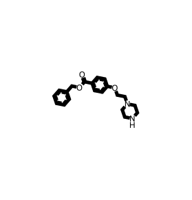 O=C(OCc1ccccc1)c1ccc(OCCN2CCNCC2)cc1